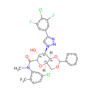 CN(C(=O)C1O[C@@H]2COC(c3ccccc3)O[C@@H]2[C@H](n2cc(-c3cc(F)c(Cl)c(F)c3)nn2)[C@H]1O)c1cc(Cl)ccc1C(F)(F)F